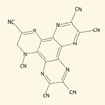 N#CC1=Nc2c(c3nc(C#N)c(C#N)nc3c3nc(C#N)c(C#N)nc23)N(C#N)C1